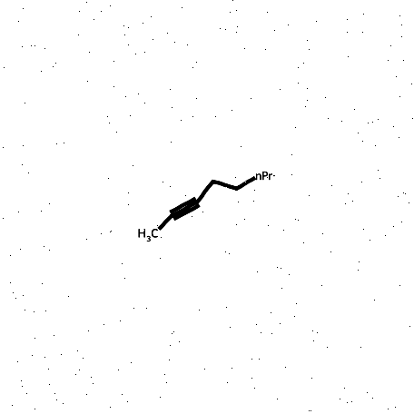 CC#CCC[CH]CC